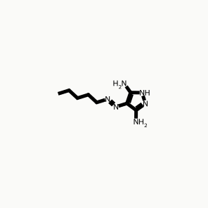 CCCCCN=Nc1c(N)n[nH]c1N